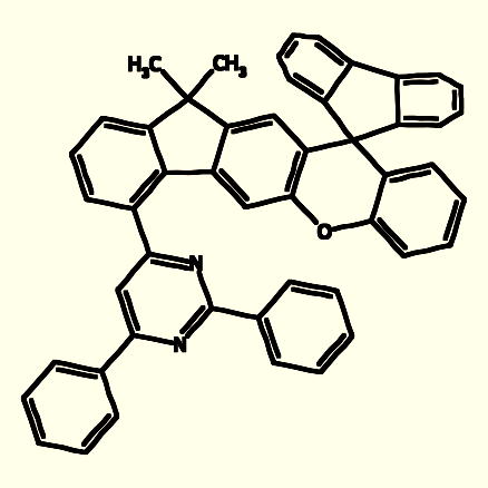 CC1(C)c2cc3c(cc2-c2c(-c4cc(-c5ccccc5)nc(-c5ccccc5)n4)cccc21)Oc1ccccc1C31c2ccccc2-c2ccccc21